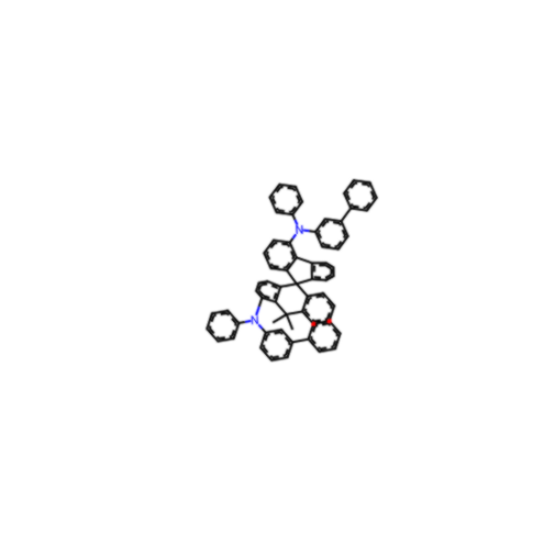 CC1(C)c2ccccc2C2(c3ccccc3-c3c(N(c4ccccc4)c4cccc(-c5ccccc5)c4)cccc32)c2cccc(N(c3ccccc3)c3cccc(-c4ccccc4)c3)c21